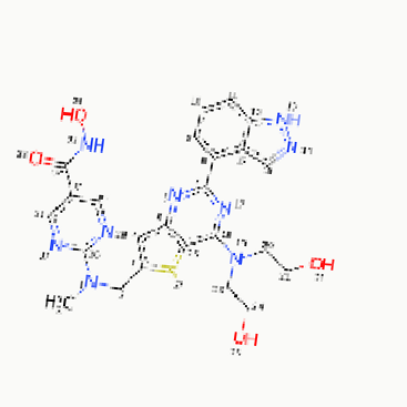 CN(Cc1cc2nc(-c3cccc4[nH]ncc34)nc(N(CCO)CCO)c2s1)c1ncc(C(=O)NO)cn1